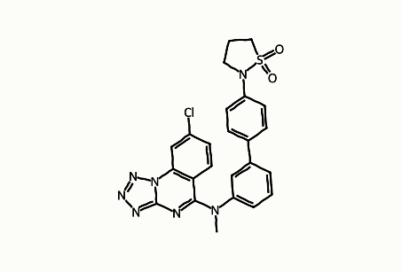 CN(c1cccc(-c2ccc(N3CCCS3(=O)=O)cc2)c1)c1nc2nnnn2c2cc(Cl)ccc12